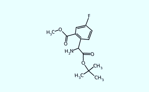 COC(=O)c1cc(F)ccc1C(N)C(=O)OC(C)(C)C